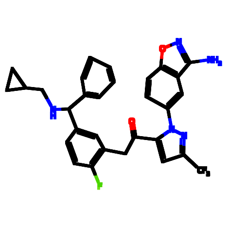 Nc1noc2ccc(-n3nc(C(F)(F)F)cc3C(=O)Cc3cc(C(NCC4CC4)c4ccccc4)ccc3F)cc12